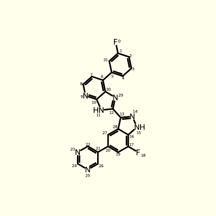 Fc1cccc(-c2ccnc3[nH]c(-c4n[nH]c5c(F)cc(-c6cncnc6)cc45)nc23)c1